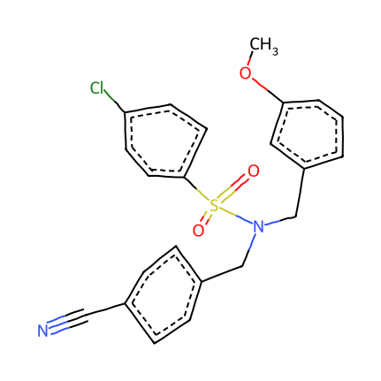 COc1cccc(CN(Cc2ccc(C#N)cc2)S(=O)(=O)c2ccc(Cl)cc2)c1